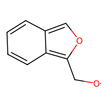 [O]Cc1occ2ccccc12